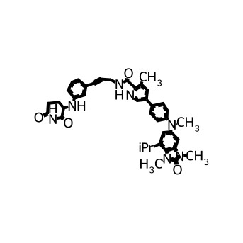 Cc1cc(-c2ccc(N(C)c3cc(C(C)C)c4c(c3)n(C)c(=O)n4C)cc2)cnc1C(=O)NCC#Cc1cccc(NC2CCC(=O)NC2=O)c1